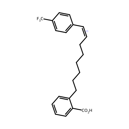 O=C(O)c1ccccc1CCCCCC/C=C\c1ccc(C(F)(F)F)cc1